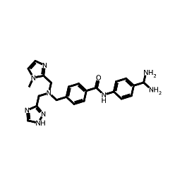 Cn1ccnc1CN(Cc1ccc(C(=O)Nc2ccc(C(N)N)cc2)cc1)Cc1nc[nH]n1